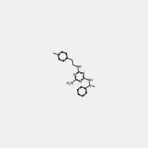 Cc1ccc(CCNc2nc(N)nc(N[C@@H](C)c3ccccc3)n2)cc1